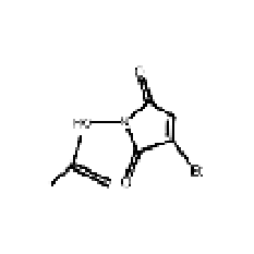 C=C(C)C.CCC1=CC(=O)N(O)C1=O